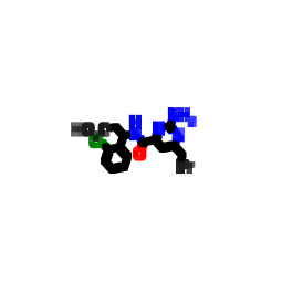 CC(C)Cc1cc(C(=O)NC(CC(=O)O)c2ccccc2Cl)nc(N)n1